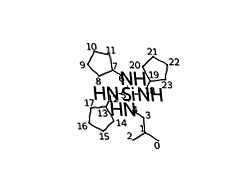 CC(C)CN[Si](NC1CCCC1)(NC1CCCC1)NC1CCCC1